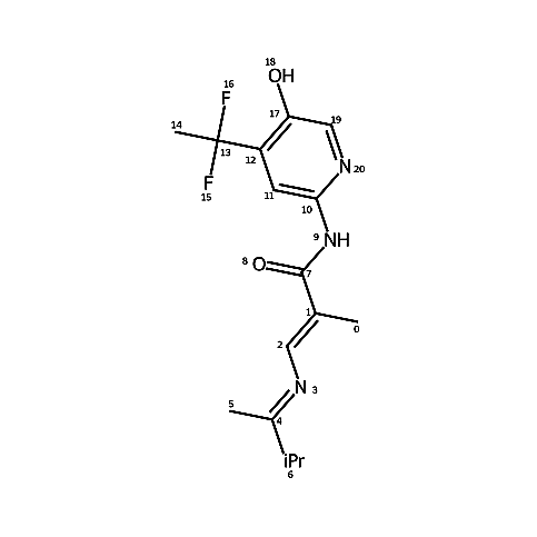 C/C(=C\N=C(/C)C(C)C)C(=O)Nc1cc(C(C)(F)F)c(O)cn1